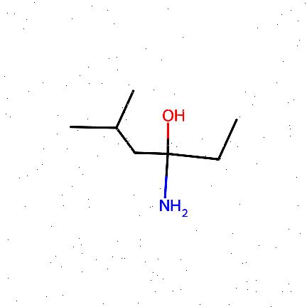 CCC(N)(O)CC(C)C